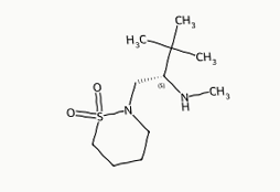 CN[C@H](CN1CCCCS1(=O)=O)C(C)(C)C